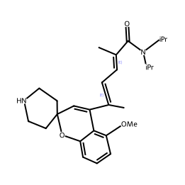 COc1cccc2c1C(/C(C)=C/C=C(\C)C(=O)N(C(C)C)C(C)C)=CC1(CCNCC1)O2